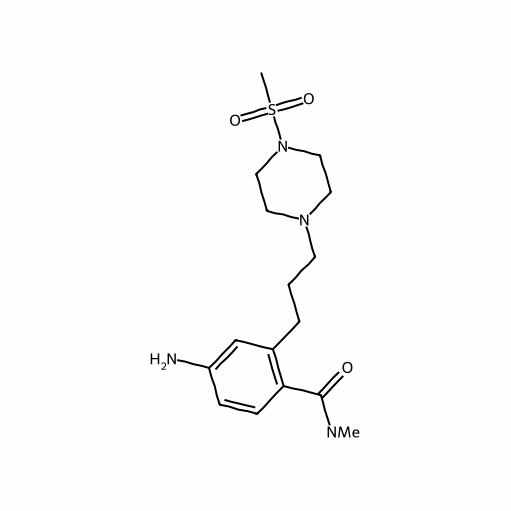 CNC(=O)c1ccc(N)cc1CCCN1CCN(S(C)(=O)=O)CC1